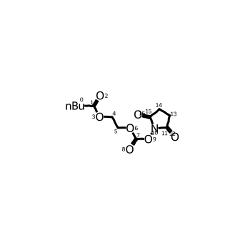 CCCCC(=O)OCCOC(=O)ON1C(=O)CCC1=O